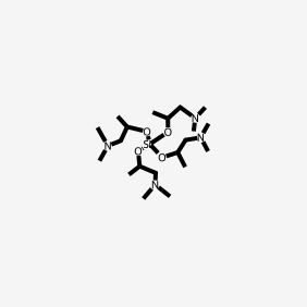 CC(CN(C)C)O[Si](OC(C)CN(C)C)(OC(C)CN(C)C)OC(C)CN(C)C